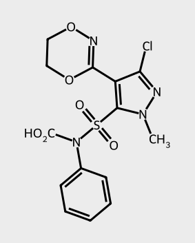 Cn1nc(Cl)c(C2=NOCCO2)c1S(=O)(=O)N(C(=O)O)c1ccccc1